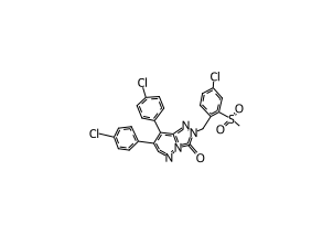 CS(=O)(=O)c1cc(Cl)ccc1Cn1nc2c(-c3ccc(Cl)cc3)c(-c3ccc(Cl)cc3)cnn2c1=O